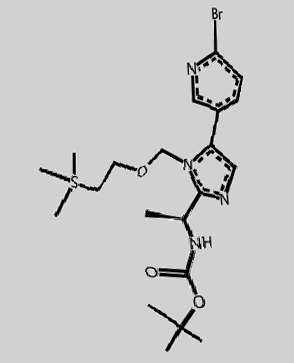 C[C@H](NC(=O)OC(C)(C)C)c1ncc(-c2ccc(Br)nc2)n1COCCS(C)(C)C